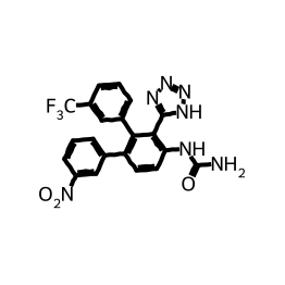 NC(=O)Nc1ccc(-c2cccc([N+](=O)[O-])c2)c(-c2cccc(C(F)(F)F)c2)c1-c1nnn[nH]1